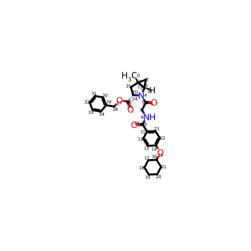 C[C@@]12C[C@@H]1N(C(=O)CNC(=O)c1ccc(OC3CCCCC3)cc1)[C@H](C(=O)OCc1ccccc1)C2